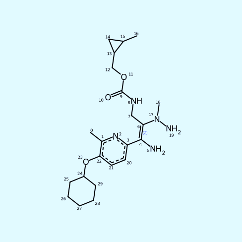 Cc1nc(/C(N)=C(\CNC(=O)OCC2CC2C)N(C)N)ccc1OC1CCCCC1